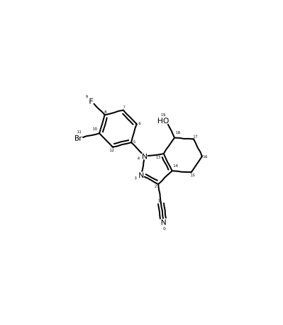 N#Cc1nn(-c2ccc(F)c(Br)c2)c2c1CCCC2O